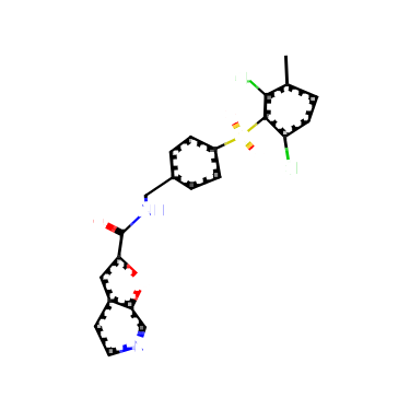 Cc1ccc(Cl)c(S(=O)(=O)c2ccc(CNC(=O)c3cc4ccncc4o3)cc2)c1Cl